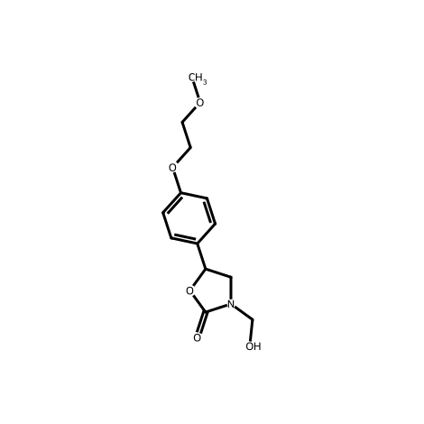 COCCOc1ccc(C2CN(CO)C(=O)O2)cc1